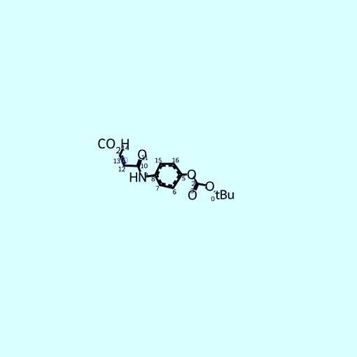 CC(C)(C)OC(=O)Oc1ccc(NC(=O)/C=C\C(=O)O)cc1